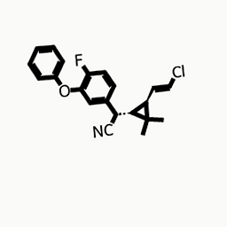 CC1(C)[C@H](C=CCl)[C@H]1C(C#N)c1ccc(F)c(Oc2ccccc2)c1